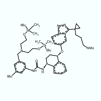 CNCCCC1(c2nnc3ccc(O[C@@H]4CC[C@H](NC(=O)Nc5cc(CN(CCO[Si](C)(C)C(C)(C)C)CCO[Si](C)(C)C(C)(C)C)cc(C(C)(C)C)c5)c5ccccc54)cn23)CC1